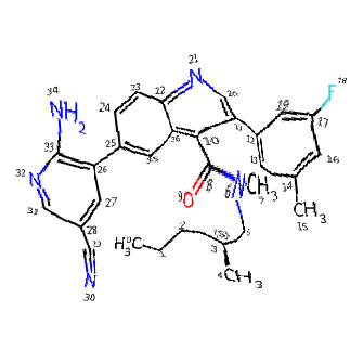 CCC[C@H](C)CN(C)C(=O)c1c(-c2cc(C)cc(F)c2)cnc2ccc(-c3cc(C#N)cnc3N)cc12